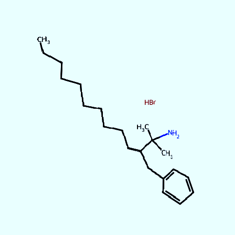 Br.CCCCCCCCCCC(Cc1ccccc1)C(C)(C)N